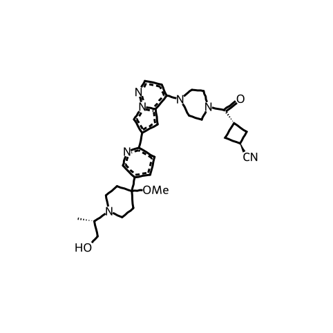 COC1(c2ccc(-c3cc4c(N5CCN(C(=O)[C@H]6C[C@H](C#N)C6)CC5)ccnn4c3)nc2)CCN([C@@H](C)CO)CC1